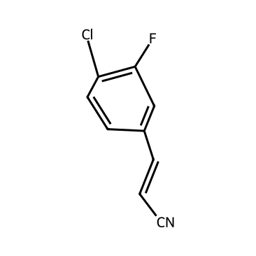 N#CC=Cc1ccc(Cl)c(F)c1